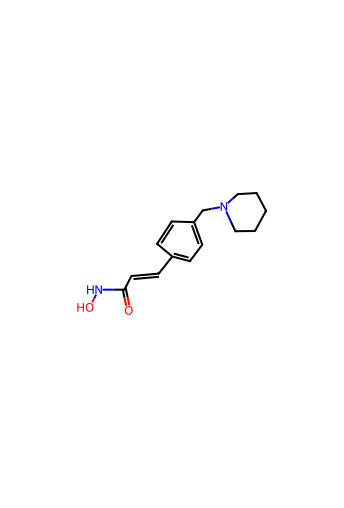 O=C(C=Cc1ccc(CN2CCCCC2)cc1)NO